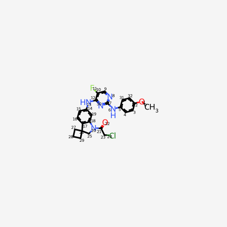 COc1ccc(Nc2ncc(F)c(Nc3ccc4c(c3)N(C(=O)CCl)CC43CCC3)n2)cc1